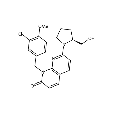 COc1ccc(Cn2c(=O)ccc3ccc(N4CCC[C@H]4CO)nc32)cc1Cl